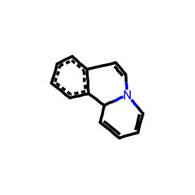 C1=CC2c3ccccc3C=CN2C=C1